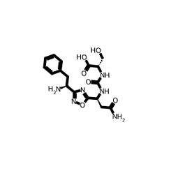 NC(=O)C[C@H](NC(=O)N[C@@H](CO)C(=O)O)c1nc([C@@H](N)Cc2ccccc2)no1